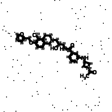 CC(=O)N1CC(Nc2cc(C(=O)NC[C@H](O)CN3CCc4c(ccc(OCc5cnco5)c4Cl)C3)ccn2)C1